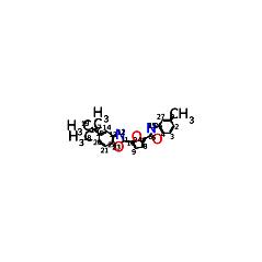 Cc1ccc2oc(-c3ccc(-c4nc5cc(C(C)(C)C)ccc5o4)o3)nc2c1